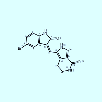 O=C1Nc2ccc(Br)cc2/C1=C/c1[nH]cc2c1CCNC2=O